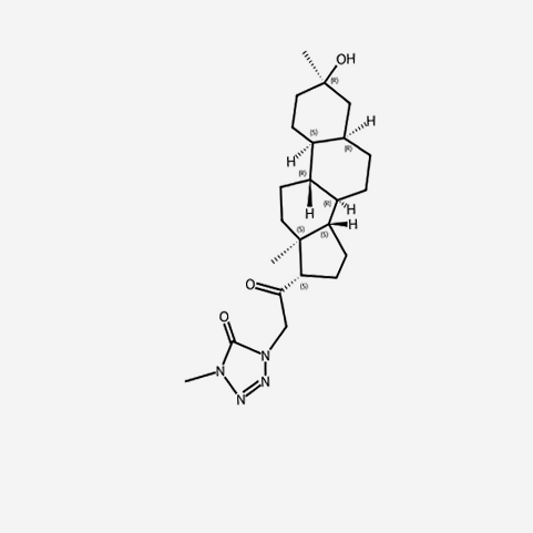 Cn1nnn(CC(=O)[C@H]2CC[C@H]3[C@@H]4CC[C@@H]5C[C@](C)(O)CC[C@@H]5[C@H]4CC[C@]23C)c1=O